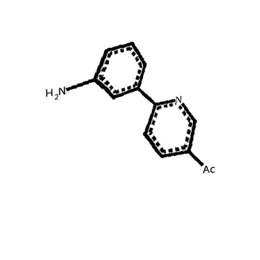 CC(=O)c1ccc(-c2cccc(N)c2)nc1